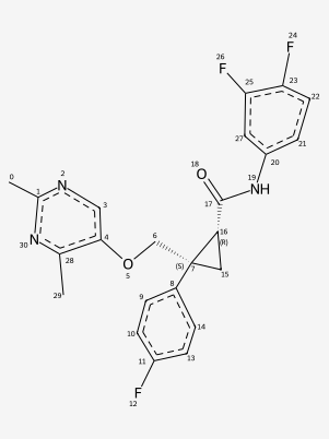 Cc1ncc(OC[C@@]2(c3ccc(F)cc3)C[C@H]2C(=O)Nc2ccc(F)c(F)c2)c(C)n1